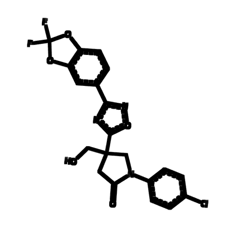 O=C1CC(CO)(c2nc(-c3ccc4c(c3)OC(F)(F)O4)no2)CN1c1ccc(Cl)cc1